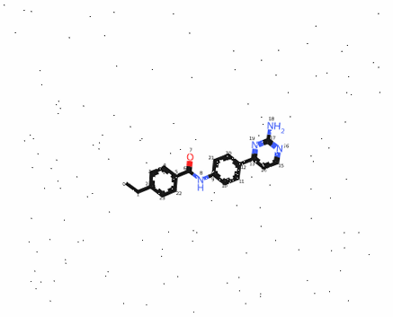 CCc1ccc(C(=O)Nc2ccc(-c3ccnc(N)n3)cc2)cc1